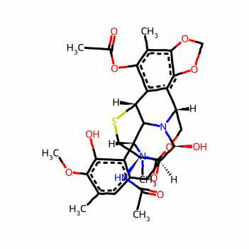 COc1c(C)cc2c(c1O)[C@@H]1C3[C@@H]4SC[C@H](NC(C)=O)C(=O)OC[C@@H](c5c6c(c(C)c(OC(C)=O)c54)OCO6)N3[C@@H](O)[C@@H](C2)N1C